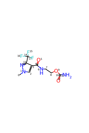 Cn1cc(C(=O)NCCOC(N)=O)c(C(F)(F)F)n1